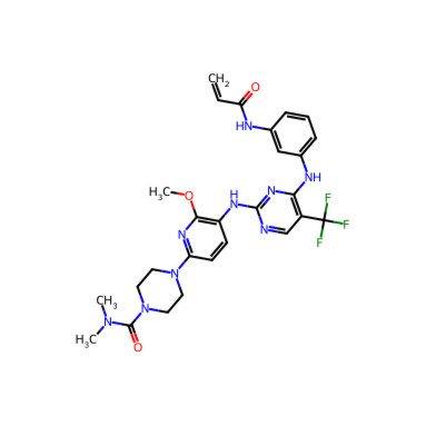 C=CC(=O)Nc1cccc(Nc2nc(Nc3ccc(N4CCN(C(=O)N(C)C)CC4)nc3OC)ncc2C(F)(F)F)c1